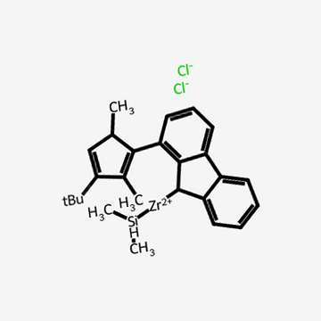 CC1=C(c2cccc3c2[CH]([Zr+2][SiH](C)C)c2ccccc2-3)C(C)C=C1C(C)(C)C.[Cl-].[Cl-]